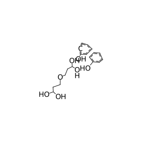 OC(O)CCOCCC(O)O.Oc1ccccc1.Oc1ccccc1